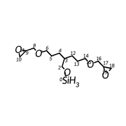 [SiH3]OCC(CCCOCC1CO1)CCCOCC1CO1